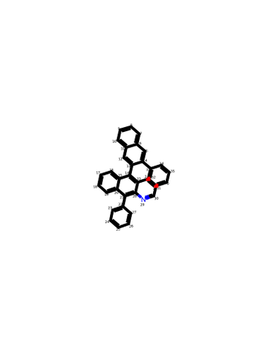 c1ccc(-c2cc3ccccc3cc2-c2c3ccccc3c(-c3ccccc3)c3ncccc23)cc1